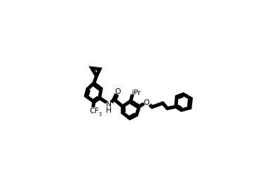 CC(C)c1c(OCCCc2ccccc2)cccc1C(=O)Nc1cc(C2CC2)ccc1C(F)(F)F